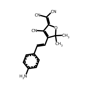 [C-]#[N+]C1=C(/C=C/c2ccc(N)cc2)C(C)(C)O/C1=C(\C#N)[N+]#[C-]